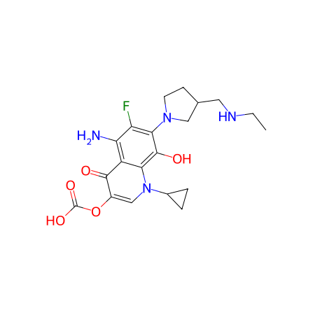 CCNCC1CCN(c2c(F)c(N)c3c(=O)c(OC(=O)O)cn(C4CC4)c3c2O)C1